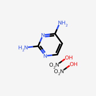 Nc1ccnc(N)n1.O=[N+]([O-])O.O=[N+]([O-])O